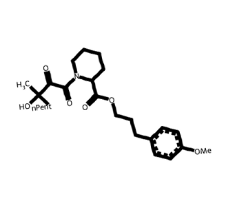 CCCCCC(C)(O)C(=O)C(=O)N1CCCCC1C(=O)OCCCc1ccc(OC)cc1